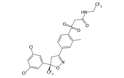 Cc1cc(C2=NO[C@@](c3cc(Cl)cc(Cl)c3)(C(F)(F)F)C2)ccc1S(=O)(=O)CC(=O)NCC(F)(F)F